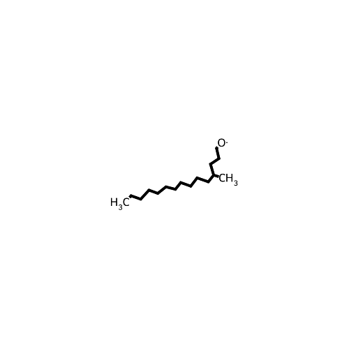 CCCCCCCCCCCC(C)CCC[O]